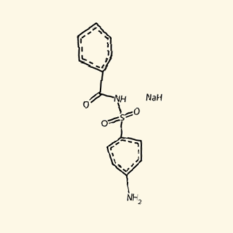 Nc1ccc(S(=O)(=O)NC(=O)c2ccccc2)cc1.[NaH]